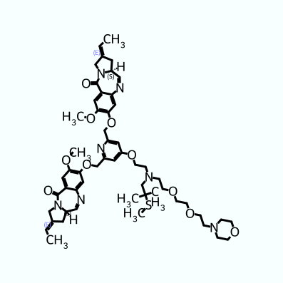 C/C=C1\C[C@H]2C=Nc3cc(OCc4cc(OCCN(CCOCCOCCN5CCOCC5)CC(C)(C)SC)cc(COc5cc6c(cc5OC)C(=O)N5C/C(=C/C)C[C@H]5C=N6)n4)c(OC)cc3C(=O)N2C1